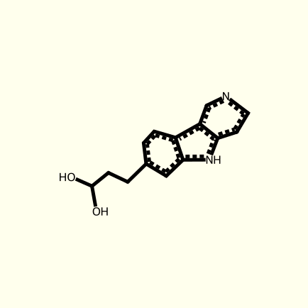 OC(O)CCc1ccc2c(c1)[nH]c1ccncc12